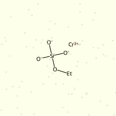 CCO[Si]([O-])([O-])[O-].[Cr+3]